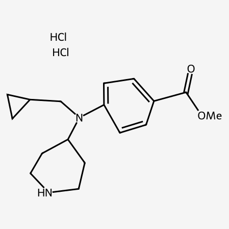 COC(=O)c1ccc(N(CC2CC2)C2CCNCC2)cc1.Cl.Cl